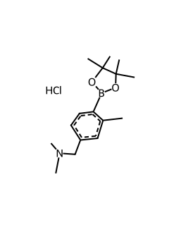 Cc1cc(CN(C)C)ccc1B1OC(C)(C)C(C)(C)O1.Cl